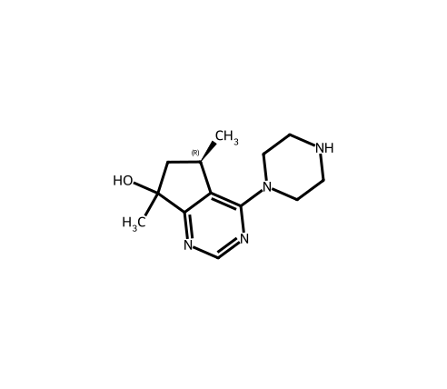 C[C@@H]1CC(C)(O)c2ncnc(N3CCNCC3)c21